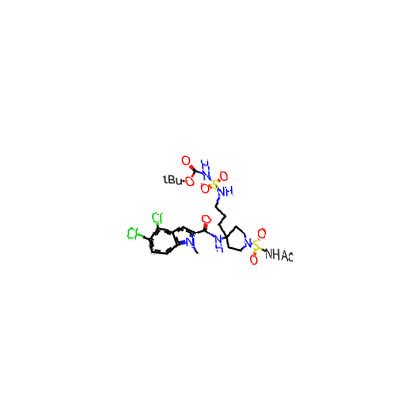 CC(=O)NS(=O)(=O)N1CCC(CCCNS(=O)(=O)NC(=O)OC(C)(C)C)(NC(=O)c2cc3c(Cl)c(Cl)ccc3n2C)CC1